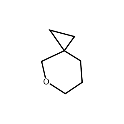 C1COCC2(C1)CC2